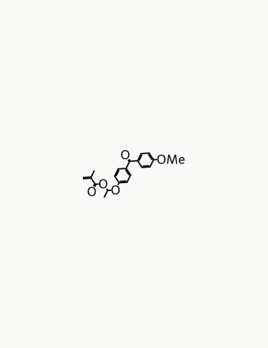 C=C(C)C(=O)OC(C)Oc1ccc(C(=O)c2ccc(OC)cc2)cc1